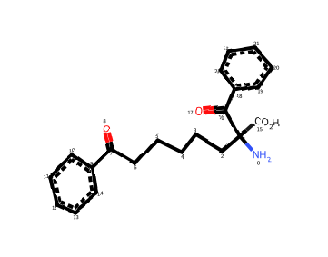 NC(CCCCCC(=O)c1ccccc1)(C(=O)O)C(=O)c1ccccc1